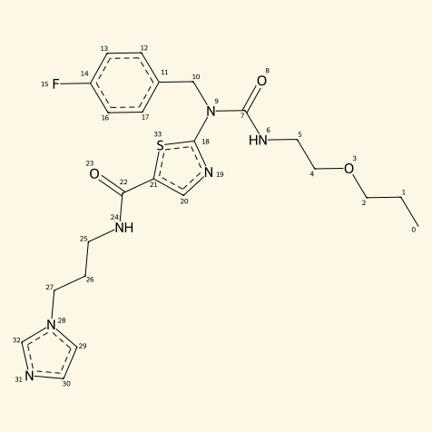 CCCOCCNC(=O)N(Cc1ccc(F)cc1)c1ncc(C(=O)NCCCn2ccnc2)s1